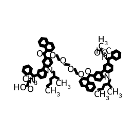 CCCCC(CC)Cn1c2ccc(C(=O)c3c(OCCOCCOCCOc4ccc5ccccc5c4C(=O)c4ccc5c(c4)c4cc(C(=NOC(C)=O)c6ccccc6C)ccc4n5CC(CC)CCCC)ccc4ccccc34)cc2c2cc(C(=NCC(=O)O)c3ccccc3C)ccc21